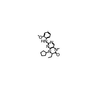 CCC1C(=O)N(C)c2cnc(Nc3cc[c]cc3OC)nc2N1C1CCCC1